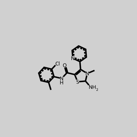 Cc1cccc(Cl)c1NC(=O)C1=C(c2ccccn2)N(C)C(N)S1